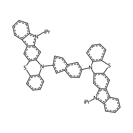 CC(C)n1c2ccccc2c2cc3c(cc21)N(c1ccc2cc(N4c5ccccc5Sc5cc6c7ccccc7n(C(C)C)c6cc54)ccc2c1)c1ccccc1S3